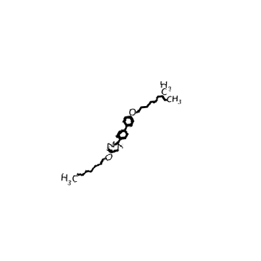 CCCCCCCCOc1cnc(-c2ccc(-c3ccc(OCCCCCCC(C)CC)cc3)cc2)nc1